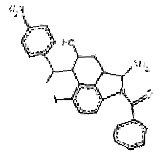 CC(c1ccc([N+](=O)[O-])cc1)C1c2c(I)ccc3c2C(CC1O)C(N)N3C(=O)c1ccccc1